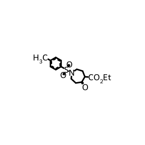 CCOC(=O)C1CCN(S(=O)(=O)c2ccc(C)cc2)CCC1=O